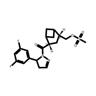 CS(=O)(=O)OC[C@@H]1C[C@H](C(=O)N2N=CCC2c2cc(F)cc(F)c2)C2CC1C2